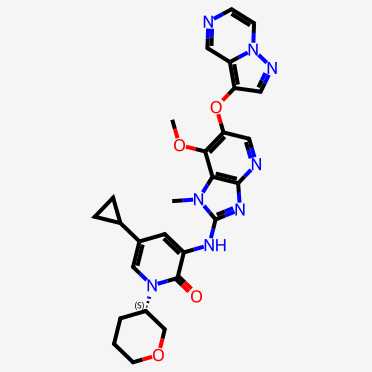 COc1c(Oc2cnn3ccncc23)cnc2nc(Nc3cc(C4CC4)cn([C@H]4CCCOC4)c3=O)n(C)c12